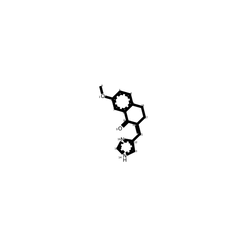 COc1ccc2c(c1)C(=O)C(=Cc1c[nH]cn1)CC2